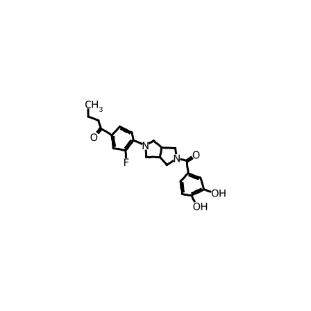 CCCC(=O)c1ccc(N2CC3CN(C(=O)c4ccc(O)c(O)c4)CC3C2)c(F)c1